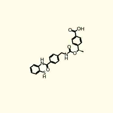 C[C@@H](OC(=O)NCc1ccc(C(=O)Nc2ccccc2S)cc1)c1ccc(C(=O)O)cc1